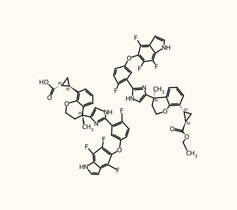 CCOC(=O)[C@@H]1C[C@H]1c1cccc2c1OCC[C@@]2(C)c1c[nH]c(-c2cc(Oc3c(F)c(F)c4[nH]ccc4c3F)ccc2F)n1.C[C@@]1(c2c[nH]c(-c3cc(Oc4c(F)c(F)c5[nH]ccc5c4F)ccc3F)n2)CCOc2c([C@@H]3C[C@H]3C(=O)O)cccc21